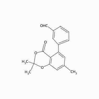 Cc1cc2c(c(-c3cccc(C=O)c3)c1)C(=O)OC(C)(C)O2